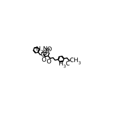 CC(C)Cc1ccc(CCC(=O)C(CS(N)(=O)=O)C(=O)OCc2ccccc2)cc1